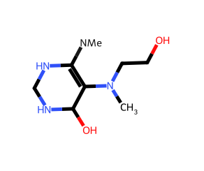 CNC1=C(N(C)CCO)C(O)NCN1